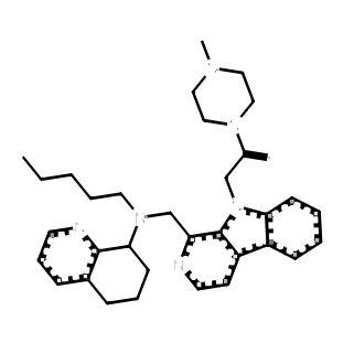 CCCCCN(Cc1nccc2c3ccccc3n(CC(=O)N3CCN(C)CC3)c12)C1CCCc2cccnc21